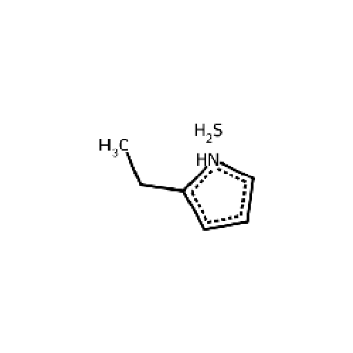 CCc1ccc[nH]1.S